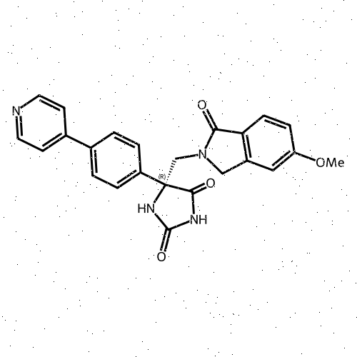 COc1ccc2c(c1)CN(C[C@@]1(c3ccc(-c4ccncc4)cc3)NC(=O)NC1=O)C2=O